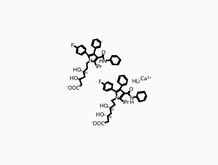 CC(C)c1c(C(=O)Nc2ccccc2)c(-c2ccccc2)c(-c2ccc(F)cc2)n1CC[C@@H](O)C[C@@H](O)CC(=O)[O-].CC(C)c1c(C(=O)Nc2ccccc2)c(-c2ccccc2)c(-c2ccc(F)cc2)n1CC[C@@H](O)C[C@@H](O)CC(=O)[O-].[Ca+2].[LiH]